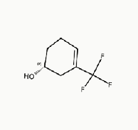 O[C@@H]1CCC=C(C(F)(F)F)C1